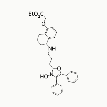 CCOC(=O)COc1cccc2c1CCCC2NCCCC1OC(c2ccccc2)=C(c2ccccc2)N1O